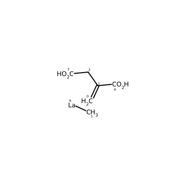 C=C(CC(=O)O)C(=O)O.[CH3][La]